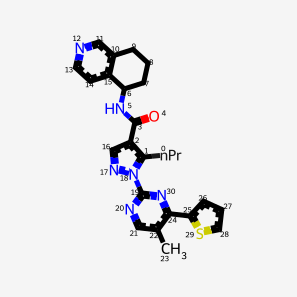 CCCc1c(C(=O)NC2CCCc3cnccc32)cnn1-c1ncc(C)c(-c2cccs2)n1